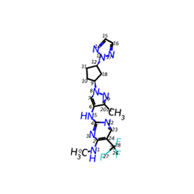 CNc1nc(Nc2cn([C@H]3CC[C@@H](n4nccn4)C3)nc2C)ncc1C(F)(F)F